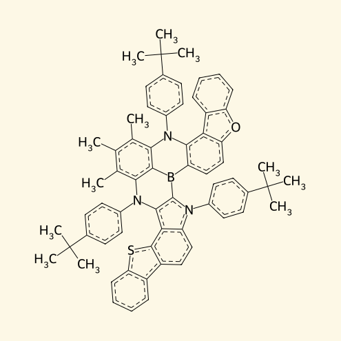 Cc1c(C)c2c3c(c1C)N(c1ccc(C(C)(C)C)cc1)c1c(n(-c4ccc(C(C)(C)C)cc4)c4ccc5c6ccccc6sc5c14)B3c1ccc3oc4ccccc4c3c1N2c1ccc(C(C)(C)C)cc1